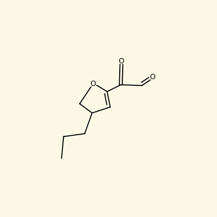 CCCC1C=C(C(=O)C=O)OC1